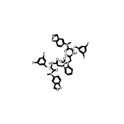 CN(C(=O)[C@H](Cc1cc(F)cc(F)c1)NC(=O)CN1c2ccccc2N(CC(=O)N[C@@H](Cc2cc(F)cc(F)c2)C(=O)N(C)c2ccc3sncc3c2)S1(=O)=O)c1ccc2sncc2c1